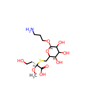 CO[C@@](CCO)(SCC1O[C@@H](OCCCN)C(O)C(O)[C@H]1O)C(=O)O